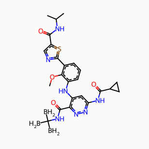 BC(B)(B)NC(=O)c1nnc(NC(=O)C2CC2)cc1Nc1cccc(-c2ncc(C(=O)NC(C)C)s2)c1OC